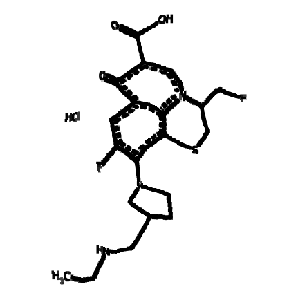 CCNCC1CCN(c2c(F)cc3c(=O)c(C(=O)O)cn4c3c2SCC4CF)C1.Cl